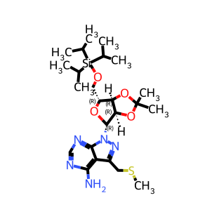 CSCc1nn([C@@H]2O[C@H](CO[Si](C(C)C)(C(C)C)C(C)C)[C@H]3OC(C)(C)O[C@H]32)c2ncnc(N)c12